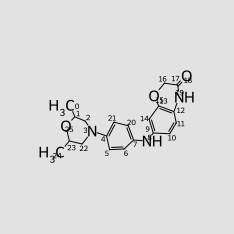 CC1CN(c2ccc(Nc3ccc4c(c3)OCC(=O)N4)cc2)CC(C)O1